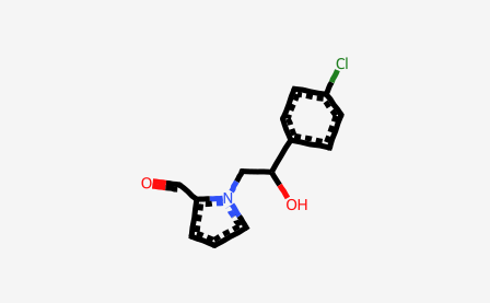 O=Cc1cccn1CC(O)c1ccc(Cl)cc1